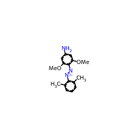 COc1cc(N)cc(OC)c1/N=N/c1c(C)cccc1C